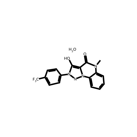 CN1C(=O)C2=C(O)N(c3ccc(C(F)(F)F)cc3)[N]N2c2ccccc21.O